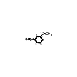 COc1cccc([N+]#N)c1